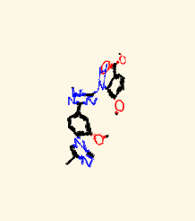 COC(=O)c1ccc(OC)cc1Nc1nc(-c2ccc(-n3cnc(C)c3)c(OC)c2)nn1C